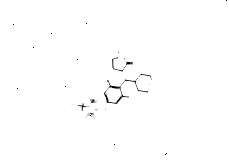 O=C1NCC[C@@H]1C(c1c(Cl)cc(OS(=O)(=O)C(F)(F)F)cc1Cl)C1CCOCC1